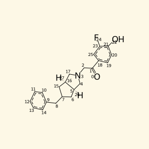 O=C(CN1C[C@H]2CC(Cc3ccccc3)C[C@H]2C1)c1ccc(O)c(F)c1